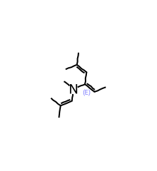 C/C=C(\C=C(C)C)N(C)C=C(C)C